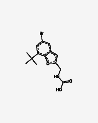 CC(C)(C)c1cc(Br)cc2cc(CNC(=O)O)oc12